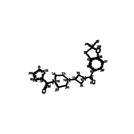 CC1(C)Cc2cc(C(=O)N3CC(N4CCN(C(=O)c5nccs5)CC4)C3)ccc2O1